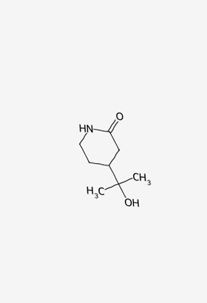 CC(C)(O)C1CCNC(=O)C1